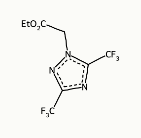 CCOC(=O)Cn1nc(C(F)(F)F)nc1C(F)(F)F